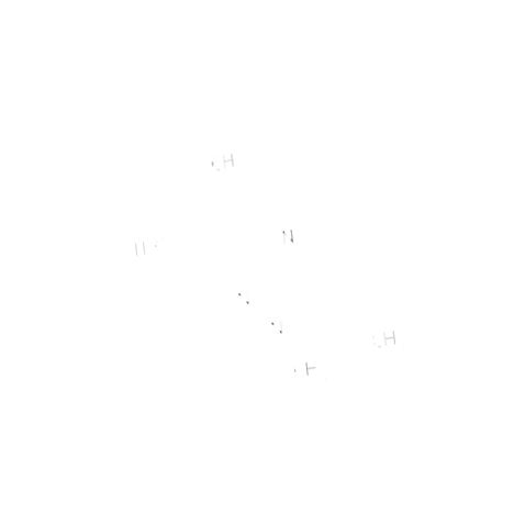 CCc1nc(C(C)C)nn1C